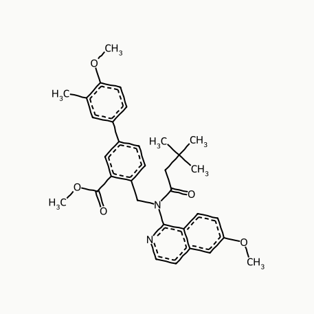 COC(=O)c1cc(-c2ccc(OC)c(C)c2)ccc1CN(C(=O)CC(C)(C)C)c1nccc2cc(OC)ccc12